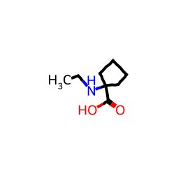 CCNC1(C(=O)O)CCCC1